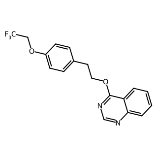 FC(F)(F)COc1ccc(CCOc2ncnc3ccccc23)cc1